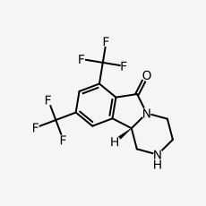 O=C1c2c(cc(C(F)(F)F)cc2C(F)(F)F)[C@H]2CNCCN12